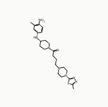 Cc1nnc(N2CCN(CCCC(=O)N3CCC(Nc4ccc([N+](=O)[O-])c(C)c4)CC3)CC2)s1